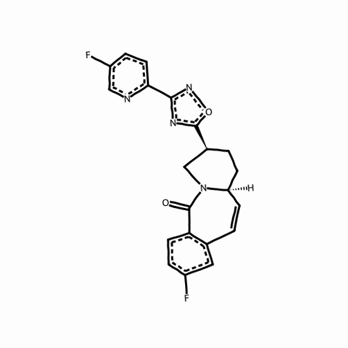 O=C1c2ccc(F)cc2C=C[C@@H]2CC[C@H](c3nc(-c4ccc(F)cn4)no3)CN12